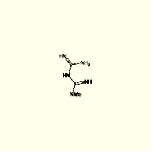 CNC(=N)NC(=N)N